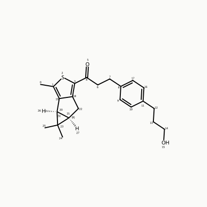 Cc1sc(C(=O)CCc2ccc(CCCO)cc2)c2c1[C@H]1[C@@H](C2)C1(C)C